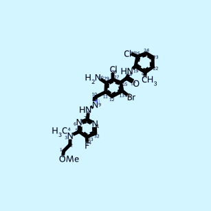 COCCN(C)c1nc(N/N=C/c2cc(Br)c(C(=O)Nc3c(C)cccc3Cl)c(Cl)c2N)ncc1F